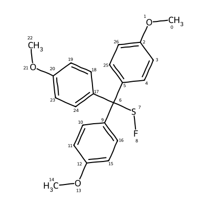 COc1ccc(C(SF)(c2ccc(OC)cc2)c2ccc(OC)cc2)cc1